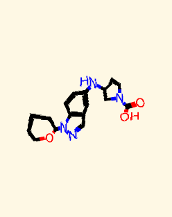 O=C(O)N1CCC(Nc2ccc3c(cnn3C3CCCCO3)c2)C1